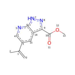 C=C(C)c1cnc2[nH]nc(C(=O)OC)c2c1